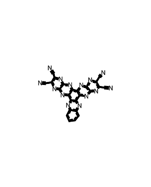 N#Cc1nc2nc3c4nc5ccccc5nc4c4nc5nc(C#N)c(C#N)nc5nc4c3nc2nc1C#N